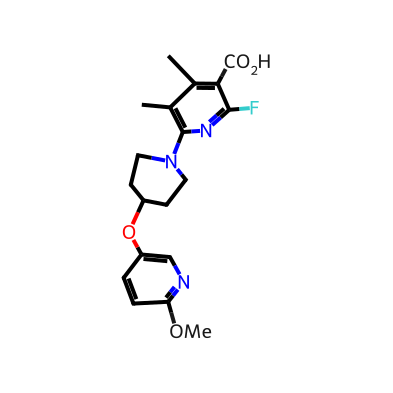 COc1ccc(OC2CCN(c3nc(F)c(C(=O)O)c(C)c3C)CC2)cn1